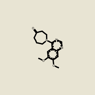 COc1cc2ncnc(N3CCCC(=O)CC3)c2cc1OC